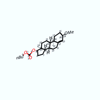 CCCCOC(=O)O[C@H]1CC[C@H]2[C@@H]3CCC4=C[C@H](OC)CC[C@]4(C)[C@H]3CC[C@]12C